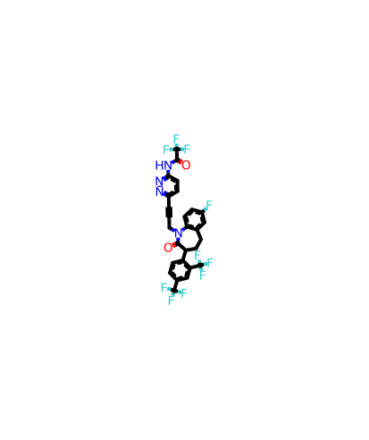 O=C1C(c2ccc(C(F)(F)F)cc2C(F)(F)F)CCc2cc(F)ccc2N1CC#Cc1ccc(NC(=O)C(F)(F)F)nn1